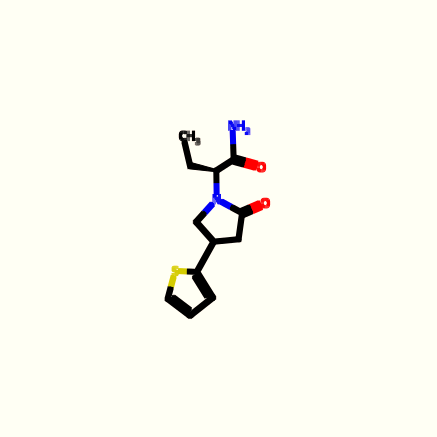 CC[C@@H](C(N)=O)N1CC(c2cccs2)CC1=O